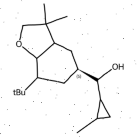 CC1CC1C(O)[C@H]1CC(C(C)(C)C)C2OCC(C)(C)C2C1